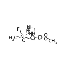 CCCN(CCCF)C(=O)C1=Cc2ccc(-c3ccc(C(=O)OCC)cc3)cc2NC(N=NN)C1